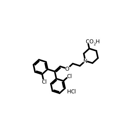 Cl.O=C(O)C1CCCN(CCOC=C(c2ccccc2Cl)c2ccccc2Cl)C1